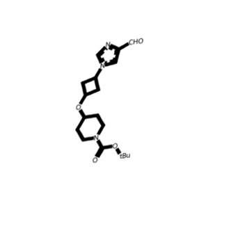 CC(C)(C)OC(=O)N1CCC(OC2CC(n3cnc(C=O)c3)C2)CC1